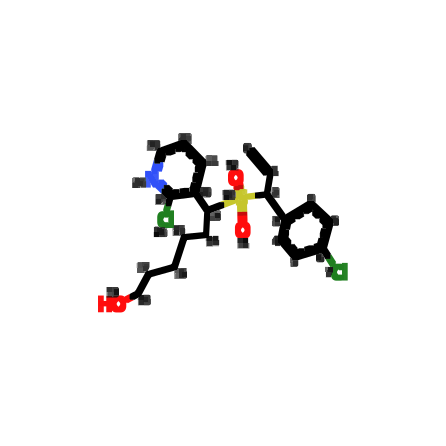 C=CC(c1ccc(Cl)cc1)S(=O)(=O)C(CCCCCO)c1cccnc1Cl